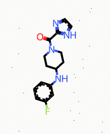 O=C(c1ncc[nH]1)N1CCC(Nc2cccc(F)c2)CC1